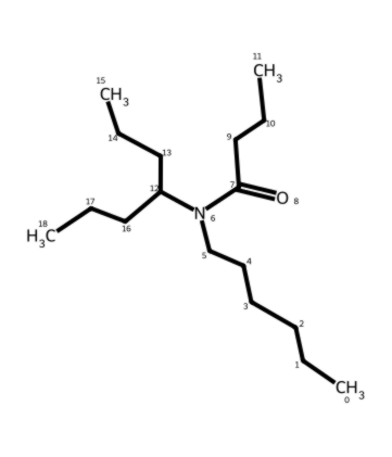 CCCCCCN(C(=O)CCC)C(CCC)CCC